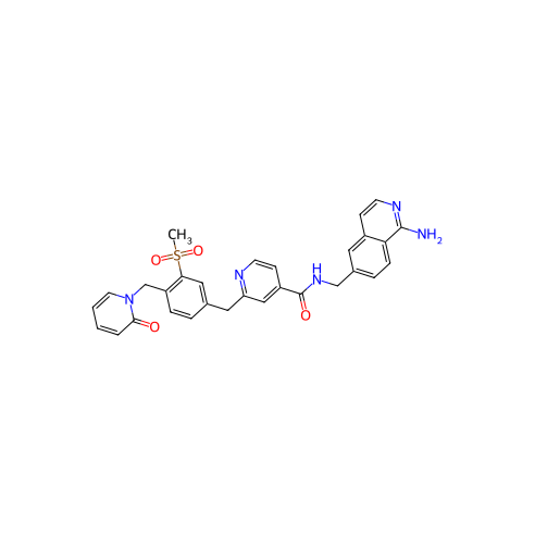 CS(=O)(=O)c1cc(Cc2cc(C(=O)NCc3ccc4c(N)nccc4c3)ccn2)ccc1Cn1ccccc1=O